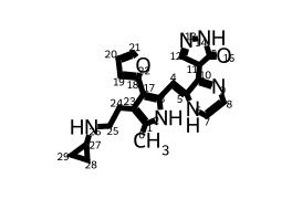 Cc1[nH]c(C=C2NC=CN=C2C2C=NNC2=O)c(-c2ccco2)c1CCNC1CC1